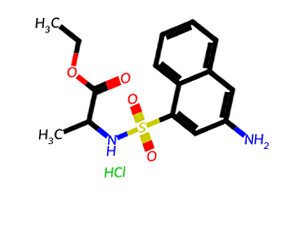 CCOC(=O)C(C)NS(=O)(=O)c1cc(N)cc2ccccc12.Cl